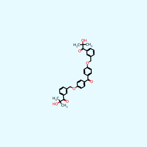 CC(C)(O)C(=O)c1cccc(COc2ccc(C(=O)c3ccc(OCc4cccc(C(=O)C(C)(C)O)c4)cc3)cc2)c1